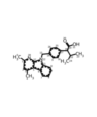 Cc1cc(C)c2c3ccccc3n(Cc3ccc(C(C(=O)O)C(C)C)cc3)c2n1